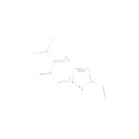 CCc1nc2nc(C(C)C)c(Cl)cn2n1